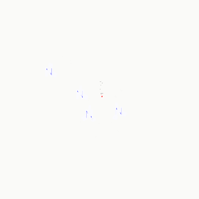 C1=CC(n2ccc3ccc4c5ccccc5n(-c5ccccc5)c4c32)=NC(c2cccnc2)C1